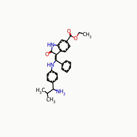 CCOC(=O)c1ccc2c(c1)NC(=O)/C2=C(\Nc1ccc(C(N)C(C)C)cc1)c1ccccc1